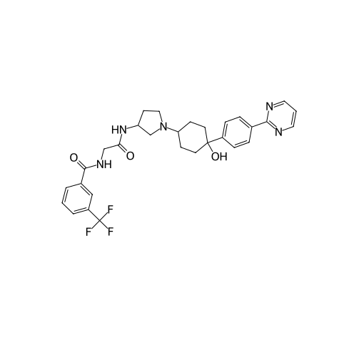 O=C(CNC(=O)c1cccc(C(F)(F)F)c1)NC1CCN(C2CCC(O)(c3ccc(-c4ncccn4)cc3)CC2)C1